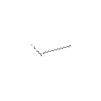 CCOCCNC(=O)CCC(NC(=O)CCCCCCCCCCCCCCCCC(=O)O)C(=O)O